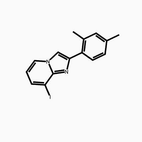 Cc1ccc(-c2cn3cccc(I)c3n2)c(C)c1